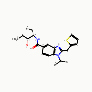 CCC(CC)n1c(Cc2cccs2)nc2cc(C(=O)N[C@@H](CC(C)C)[C@H](O)CC(=O)O)ccc21